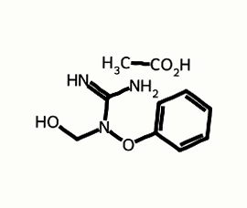 CC(=O)O.N=C(N)N(CO)Oc1ccccc1